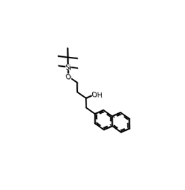 CC(C)(C)[Si](C)(C)OCCC(O)Cc1ccc2ccccc2c1